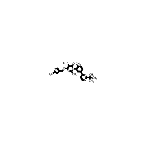 Cc1cc(COc2nc(C)n(-c3cc(-c4ccnc(C(C)(C)C)n4)ccc3C)c(=O)c2C)cs1